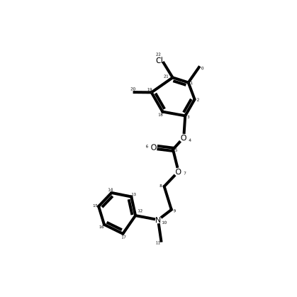 Cc1cc(OC(=O)OCCN(C)c2ccccc2)cc(C)c1Cl